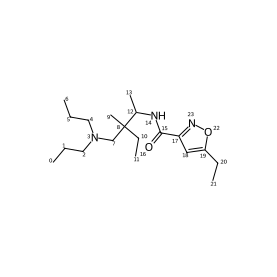 CCCN(CCC)CC(C)(CC)C(C)NC(=O)c1cc(CC)on1